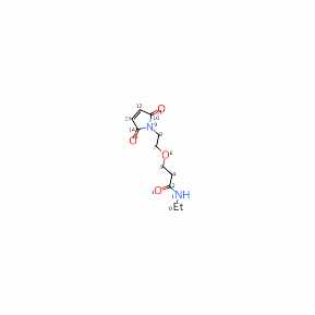 CCNC(=O)CCOCCN1C(=O)C=CC1=O